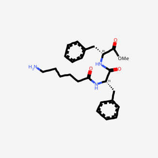 COC(=O)[C@@H](Cc1ccccc1)NC(=O)[C@H](Cc1ccccc1)NC(=O)CCCCCN